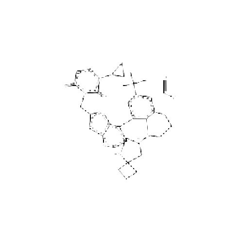 O=CO.O=c1ccn(C2CC2)c(=O)n1Cc1cc2nccc(-c3cc(C(F)(F)F)cc4c3N([C@@H]3CNC5(CCC5)C3)CCC4)c2s1